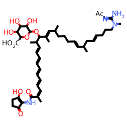 CC(=O)N=C(N)N(C)CCCC=CCC(C)C=CCCCC(C)C=C(C)C(OC1OC(C(=O)O)C(O)C(O)C1O)C(C)C=CC=CC=CC=CC=C(C)C(=O)NC1=C(O)CCC1=O